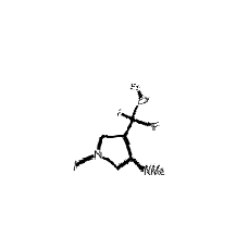 CCOC(F)(F)C1CN(I)CC1NC